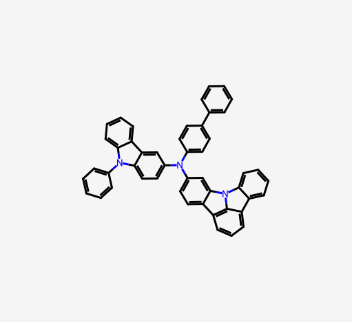 c1ccc(-c2ccc(N(c3ccc4c(c3)c3ccccc3n4-c3ccccc3)c3ccc4c5cccc6c7ccccc7n(c4c3)c65)cc2)cc1